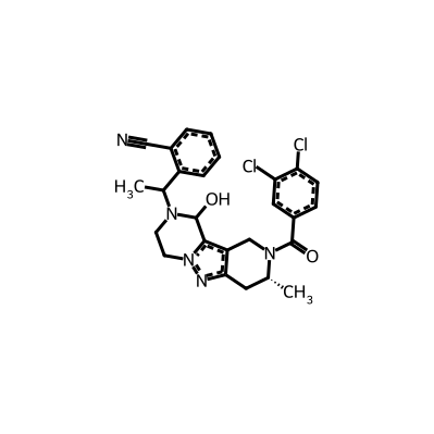 CC(c1ccccc1C#N)N1CCn2nc3c(c2C1O)CN(C(=O)c1ccc(Cl)c(Cl)c1)[C@H](C)C3